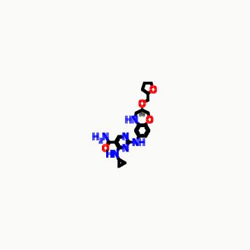 NC(=O)c1cnc(Nc2ccc3c(c2)NC[C@H](OCC2CCCO2)CO3)nc1NC1CC1